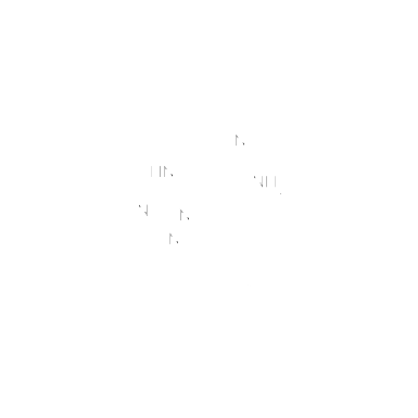 Nc1cc(Nc2nc3cccc(-c4ccccc4)n3n2)ccn1